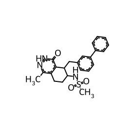 Cc1n[nH]c(=O)c2c1CCC(NS(C)(=O)=O)C2Cc1cccc(-c2ccccc2)c1